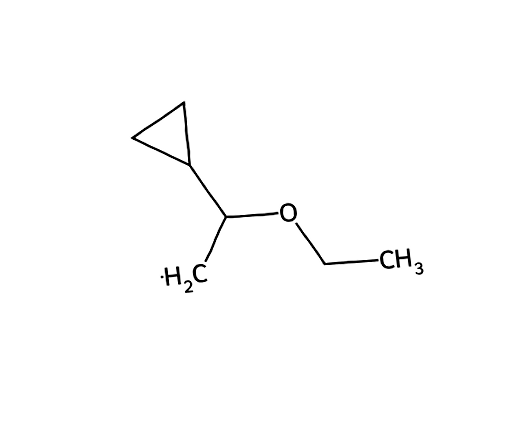 [CH2]C(OCC)C1CC1